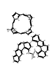 C1=Cc2cc3ccc(cc4nc(cc5ccc(cc1n2)[nH]5)C=C4)[nH]3.OB(Oc1cccc2ccc3cc4ccccc4cc3c12)Oc1cccc2ccc3cc4ccccc4cc3c12.[Mn]